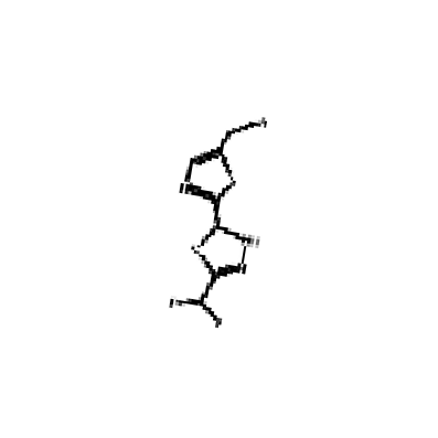 FC(F)C1=NNC(c2ncc(CBr)s2)O1